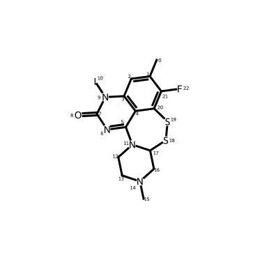 Cc1cc2c3c(nc(=O)n2I)N2CCN(C)CC2SSc3c1F